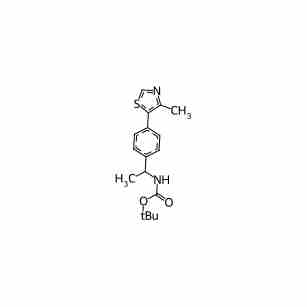 Cc1ncsc1-c1ccc(C(C)NC(=O)OC(C)(C)C)cc1